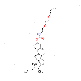 CC(C)CCCC(C)C1CCC2C3CC=C4CC(OC(=O)NCCOCCOCCN)CCC4C3CCC12C